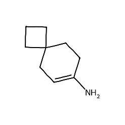 NC1=CCC2(CCC2)CC1